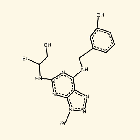 CCC(CO)Nc1nc(NCc2cccc(O)c2)c2nnn(C(C)C)c2n1